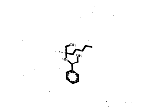 CCCCC[C@](C)(CO)N[C@@H](CO)c1ccccc1